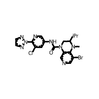 CC(C)C1CN(C(=O)Nc2cnc(-n3nccn3)c(Cl)c2)c2cncc(Br)c2N1C